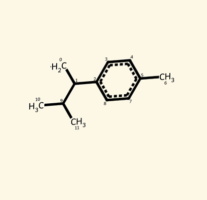 [CH2]C(c1ccc(C)cc1)C(C)C